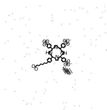 O=C([O-])CCCCCCc1ccc(-c2c3nc(c(-c4ccc(S(=O)(=O)[O-])cc4)c4ccc([nH]4)c(-c4ccc(S(=O)(=O)[O-])cc4)c4nc(c(-c5ccc(S(=O)(=O)[O-])cc5)c5ccc2[nH]5)C=C4)C=C3)cc1.[Na+].[Na+].[Na+].[Na+]